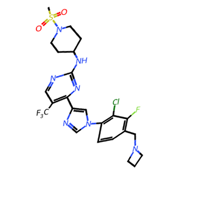 CS(=O)(=O)N1CCC(Nc2ncc(C(F)(F)F)c(-c3cn(-c4ccc(CN5CCC5)c(F)c4Cl)cn3)n2)CC1